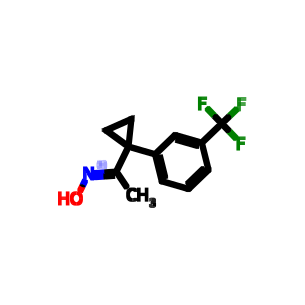 C/C(=N\O)C1(c2cccc(C(F)(F)F)c2)CC1